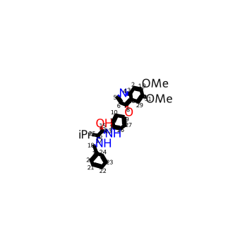 COc1cc2nccc(Oc3ccc(NC(O)C(NCc4ccccc4)C(C)C)cc3)c2cc1OC